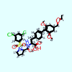 CCOCc1cc(OC)c(-c2ccc(CC(NC(=O)C3CCCN3S(=O)(=O)c3cc(Cl)cc(Cl)c3)C(=O)O)cc2)c(OC)c1